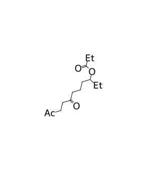 CCC(=O)OC(CC)CCCC(=O)CCC(C)=O